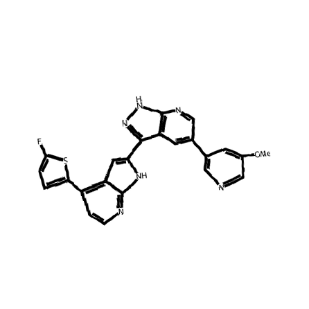 COc1cncc(-c2cnc3[nH]nc(-c4cc5c(-c6ccc(F)s6)ccnc5[nH]4)c3c2)c1